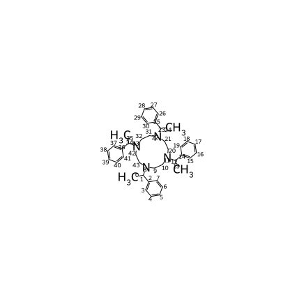 CC(c1ccccc1)N1CCN(C(C)c2ccccc2)CCN(C(C)c2ccccc2)CCN(C(C)c2ccccc2)CC1